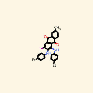 CCc1ccc(Nc2c(I)cc3c(c2Nc2ccc(CC)cc2)C(=O)c2ccc(C)cc2C3=O)cc1